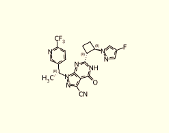 C[C@H](c1ccc(C(F)(F)F)nc1)n1nc(C#N)c2c(=O)[nH]c([C@@H]3CC[C@H]3n3cc(F)cn3)nc21